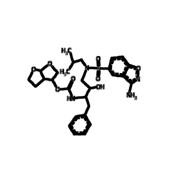 CC(C)CN(CC(O)C(Cc1ccccc1)NC(=O)OC1COC2OCCC12)S(=O)(=O)c1ccc2onc(N)c2c1